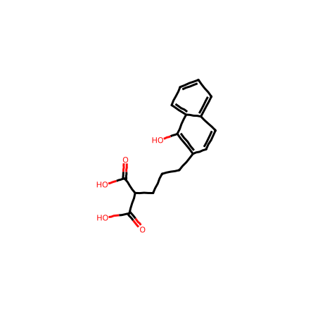 O=C(O)C(CCCc1ccc2ccccc2c1O)C(=O)O